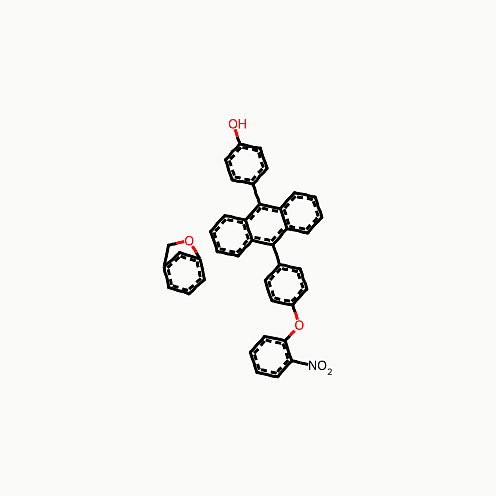 O=[N+]([O-])c1ccccc1Oc1ccc(-c2c3ccccc3c(-c3ccc(O)cc3)c3ccccc23)cc1.c1cc2cc(c1)OC2